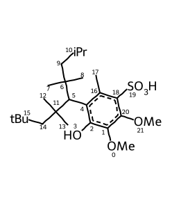 COc1c(O)c(C(C(C)(C)CC(C)C)C(C)(C)CC(C)(C)C)c(C)c(S(=O)(=O)O)c1OC